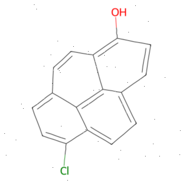 Oc1ccc2ccc3c(Cl)ccc4ccc1c2c43